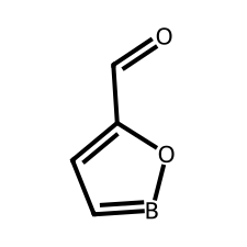 O=Cc1ccbo1